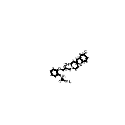 NC(=O)Nc1ccccc1OC[C@H](O)CN1CCC2(CC1)Cc1cc(Cl)ccc1O2